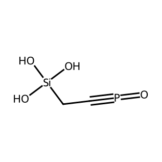 O=P#CC[Si](O)(O)O